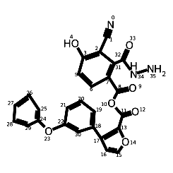 N#Cc1c(O)ccc(C(=O)OC(=O)c2occc2-c2cccc(Oc3ccccc3)c2)c1C(=O)NN